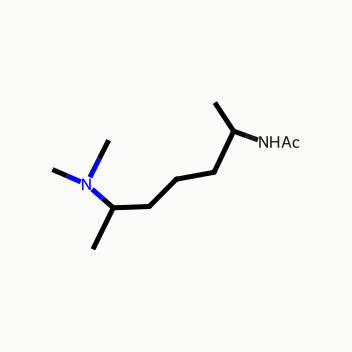 CC(=O)NC(C)CCCC(C)N(C)C